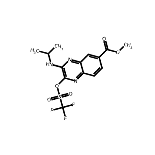 COC(=O)c1ccc2nc(OS(=O)(=O)C(F)(F)F)c(NC(C)C)nc2c1